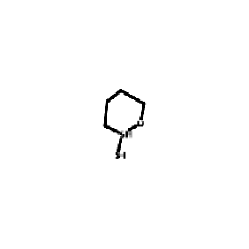 S[SiH]1CCCCO1